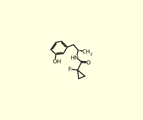 C[C@H](Cc1cccc(O)c1)NC(=O)C1(F)CC1